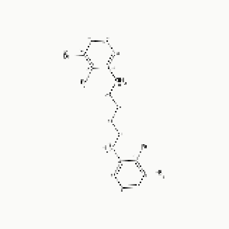 Brc1cccc([SiH2]CCCC[SiH2]c2cccc(Br)c2Br)c1Br